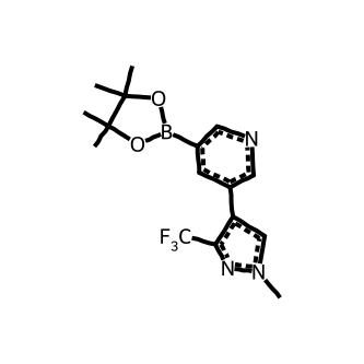 Cn1cc(-c2cncc(B3OC(C)(C)C(C)(C)O3)c2)c(C(F)(F)F)n1